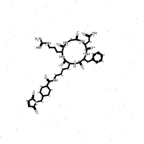 N=C(N)NCCCC1NC(=O)C(CCCCNC(=O)C2CCC(CN3C(=O)C=CC3=O)CC2)NC(=O)C(Cc2ccccc2)NC(=O)C(CC(=O)O)NC(=O)CNC1=O